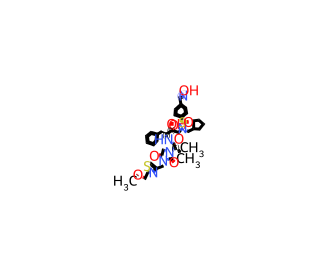 COCc1nc(CN2C(=O)CN([C@H](C(=O)N[C@@H](Cc3ccccc3)[C@H](O)CN(CC3CCCC3)S(=O)(=O)c3ccc(/C=N/O)cc3)C(C)C)C2=O)cs1